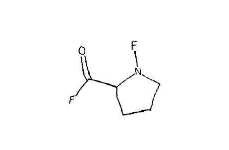 O=C(F)C1CCCN1F